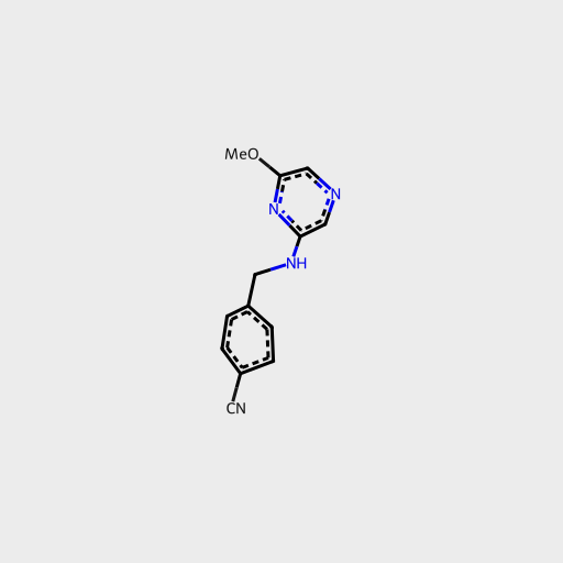 COc1cncc(NCc2ccc(C#N)cc2)n1